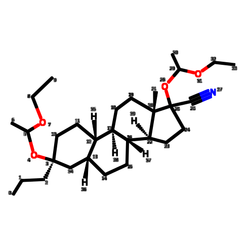 CCC[C@]1(OC(C)OCC)CC[C@H]2[C@H](CC[C@@H]3[C@@H]2CC[C@@]2(C)[C@H]3CCC2(C#N)OC(C)OCC)C1